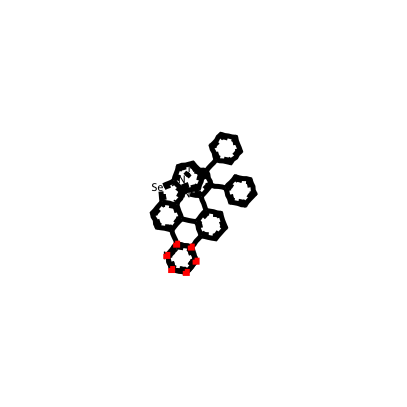 c1ccc(-c2cccc(-c3nnnc(-c4ccccc4)c3-c3ccccc3)c2-c2c(-c3ccccn3)ccc3[se]c4ccccc4c23)cc1